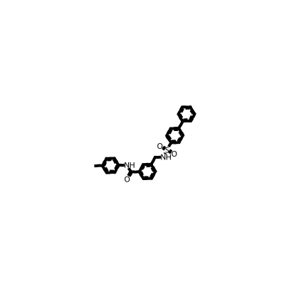 Cc1ccc(NC(=O)c2cccc(CNS(=O)(=O)c3ccc(-c4ccccc4)cc3)c2)cc1